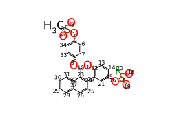 CS(=O)(=O)Oc1ccc(OC(Oc2ccc(OS(=O)(=O)F)cc2)c2cccc3ccccc23)cc1